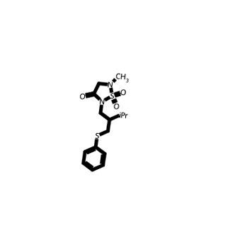 CC(C)C(CSc1ccccc1)CN1C(=O)CN(C)S1(=O)=O